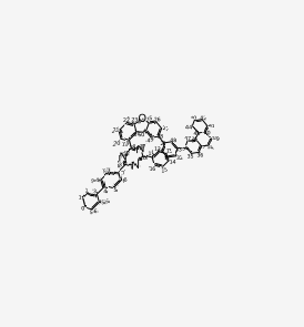 c1ccc(-c2ccc(-c3nc(-c4ccccc4)nc(-c4cccc5oc6ccc(-c7cccc(-c8ccc9ccc%10ccccc%10c9c8)c7)cc6c45)n3)cc2)cc1